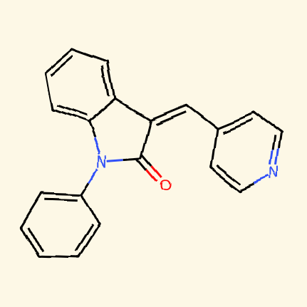 O=C1C(=Cc2ccncc2)c2ccccc2N1c1ccccc1